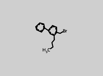 CCCCc1cc(-c2ccccc2)ccc1CBr